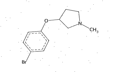 CN1CCC(Oc2ccc(Br)cc2)C1